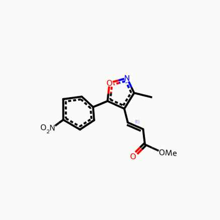 COC(=O)/C=C/c1c(C)noc1-c1ccc([N+](=O)[O-])cc1